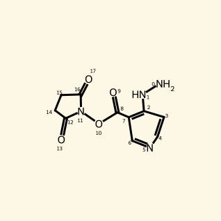 NNc1ccncc1C(=O)ON1C(=O)CCC1=O